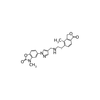 Cc1c([CH]CNCc2cnn(-c3ccc4oc(=O)n(C)c4c3)c2)ccc2c1COC2=O